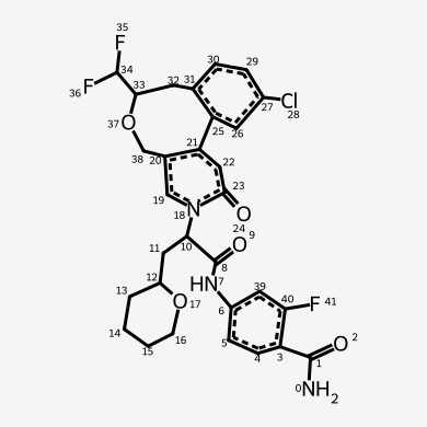 NC(=O)c1ccc(NC(=O)C(CC2CCCCO2)n2cc3c(cc2=O)-c2cc(Cl)ccc2CC(C(F)F)OC3)cc1F